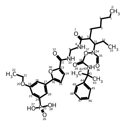 CCCCCC(C(=O)NCNC(=O)c1ccc(-c2cc(OCC)cc(P(=O)(O)O)c2)o1)C(CC)N(C=O)OC(=O)NC(C)(C)c1ccccc1